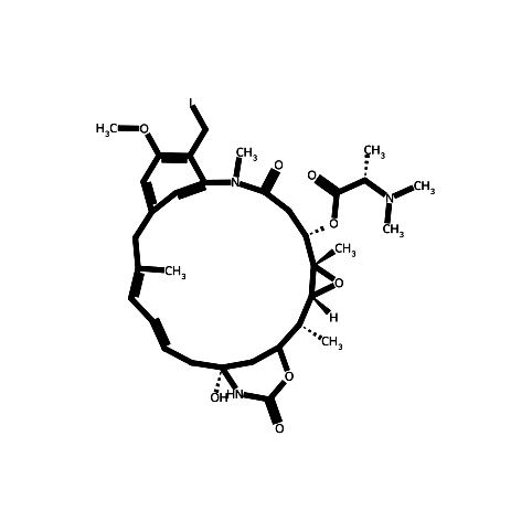 COc1cc2cc(c1CI)N(C)C(=O)C[C@H](OC(=O)[C@H](C)N(C)C)[C@]1(C)O[C@@H]1[C@H](C)C1C[C@](O)(C/C=C/C=C(\C)C2)NC(=O)O1